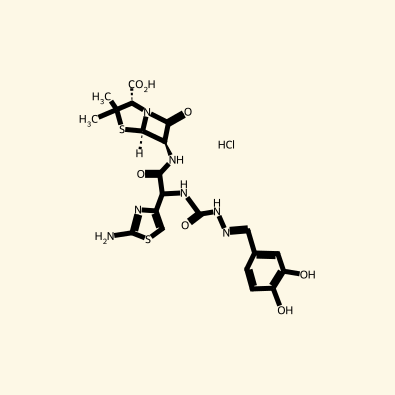 CC1(C)S[C@@H]2[C@H](NC(=O)C(NC(=O)NN=Cc3ccc(O)c(O)c3)c3csc(N)n3)C(=O)N2[C@H]1C(=O)O.Cl